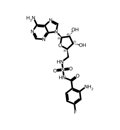 Nc1cc(F)ccc1C(=O)NS(=O)(=O)NC[C@H]1O[C@@H](n2cnc3c(N)ncnc32)[C@H](O)[C@@H]1O